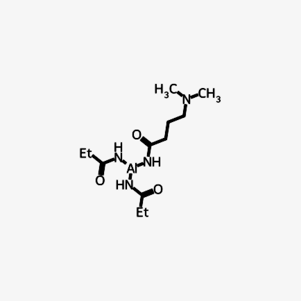 CCC(=O)[NH][Al]([NH]C(=O)CC)[NH]C(=O)CCCN(C)C